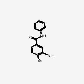 CCc1ccc(C(=O)Nc2ccccc2)cc1[N+](=O)[O-]